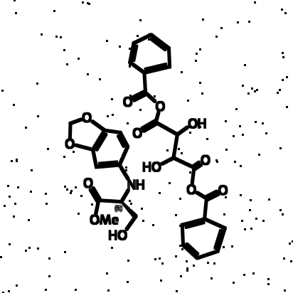 COC(=O)[C@H](CO)Nc1ccc2c(c1)OCO2.O=C(OC(=O)C(O)C(O)C(=O)OC(=O)c1ccccc1)c1ccccc1